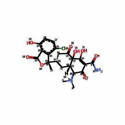 CN(C)[C@@H]1C(=O)C(C(N)=O)=C(O)[C@@]2(O)C(=O)C[C@@H]([C@]3(C)OC(=O)c4c(O)ccc(Cl)c43)C[C@@H]12